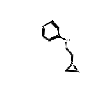 c1cc(NCCN2CC2)ccn1